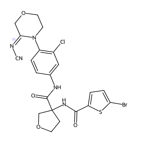 N#C/N=C1/COCCN1c1ccc(NC(=O)C2(NC(=O)c3ccc(Br)s3)CCOC2)cc1Cl